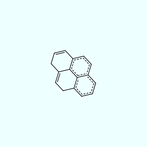 C1=Cc2ccc3cccc4c3c2C(=CC4)C1